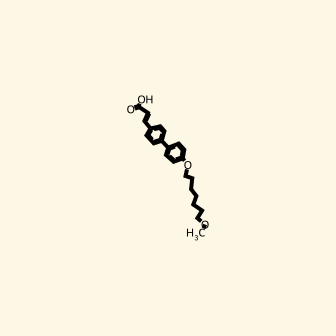 COCCCCCCCOc1ccc(-c2ccc(C=CC(=O)O)cc2)cc1